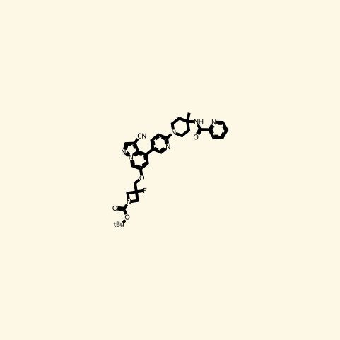 CC1(NC(=O)c2ccccn2)CCN(c2ccc(-c3cc(OCC4(F)CN(C(=O)OC(C)(C)C)C4)cn4ncc(C#N)c34)cn2)CC1